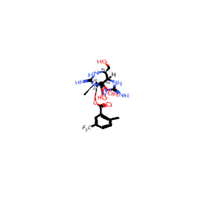 Cc1ccc(C(F)(F)F)cc1C(=O)O[C@H]1[C@H](C)N2C(=N)N[C@@H](CO)[C@@H]3NC(=N)N[C@@]32C1(O)O